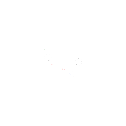 Cc1cccc(Cc2ccn(COC(=O)C3C(Oc4ccc(Cl)cc4)C3(C)C)c2)c1